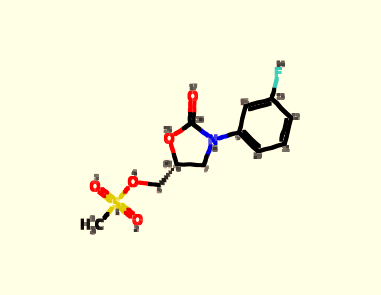 CS(=O)(=O)OC[C@H]1CN(c2cccc(F)c2)C(=O)O1